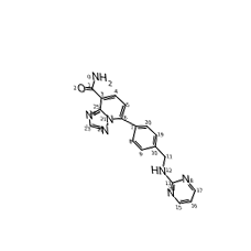 NC(=O)c1ccc(-c2ccc(CNc3ncccn3)cc2)n2n[c]nc12